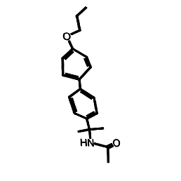 CCCOc1ccc(-c2ccc(C(C)(C)NC(C)=O)cc2)cc1